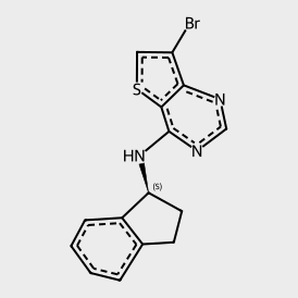 Brc1csc2c(N[C@H]3CCc4ccccc43)ncnc12